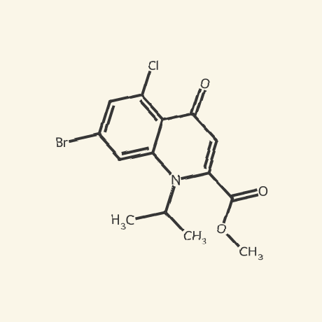 COC(=O)c1cc(=O)c2c(Cl)cc(Br)cc2n1C(C)C